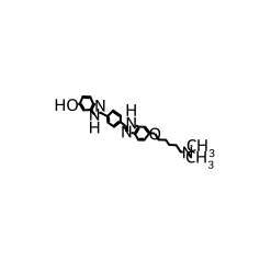 CN(C)CCCCCOc1ccc2nc(-c3ccc(-c4nc5ccc(O)cc5[nH]4)cc3)[nH]c2c1